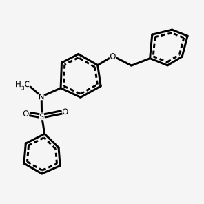 CN(c1ccc(OCc2ccccc2)cc1)S(=O)(=O)c1ccccc1